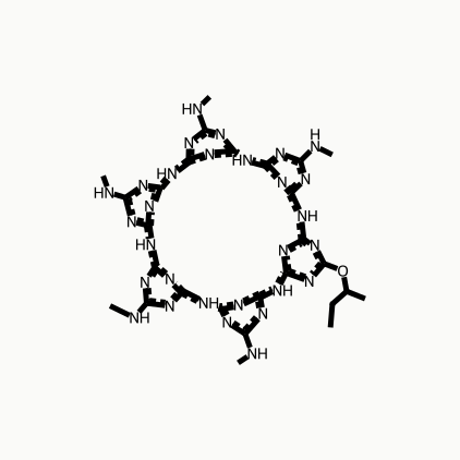 CCC(C)Oc1nc2nc(n1)[nH]c1nc(NC)nc(n1)[nH]c1nc(NC)nc(n1)[nH]c1nc(NC)nc(n1)[nH]c1nc(NC)nc(n1)[nH]c1nc(NC)nc(n1)[nH]2